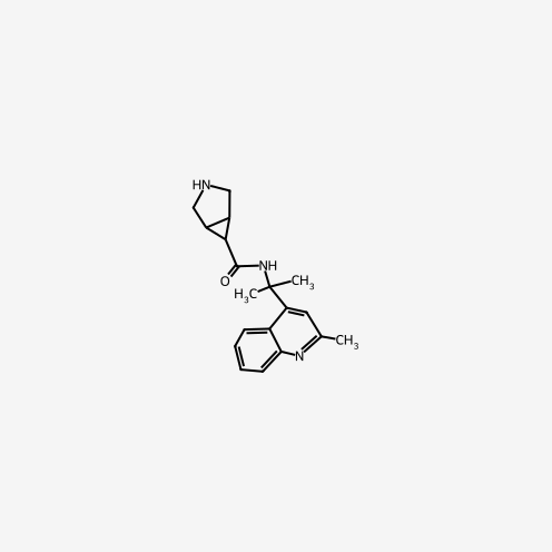 Cc1cc(C(C)(C)NC(=O)C2C3CNCC32)c2ccccc2n1